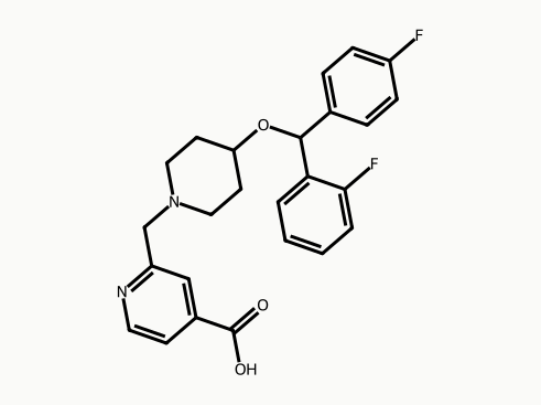 O=C(O)c1ccnc(CN2CCC(OC(c3ccc(F)cc3)c3ccccc3F)CC2)c1